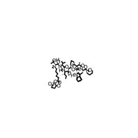 CC[C@H](C)[C@@H]([C@@H](CC(=O)N1CCC[C@H]1[C@H](OC)[C@@H](C)C(=O)N[C@@H](Cc1c[nH]c2ccccc12)C(=O)N1CCCCO1)OC)N(C)C(=O)[C@@H](NC(=O)[C@H](C(C)O)N(C)CCCCCC(=O)ON1C(=O)CCC1=O)C(C)C